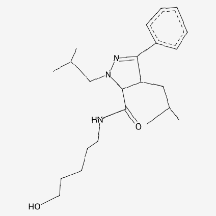 CC(C)CC1C(c2ccccc2)=NN(CC(C)C)C1C(=O)NCCCCCO